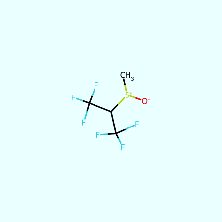 C[S+]([O-])C(C(F)(F)F)C(F)(F)F